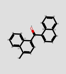 Cc1ccc(C(=O)c2cccc3ccccc23)c2ccccc12